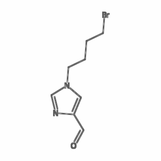 O=Cc1cn(CCCCBr)cn1